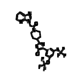 O=C(Cn1cnc2cccnc21)N1CCC(c2nc(-c3cc(OC(F)(F)F)cc(SC(F)(F)F)c3)c(Cl)s2)CC1